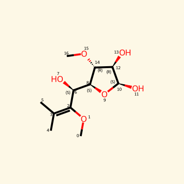 COC(=C(C)C)[C@@H](O)[C@@H]1O[C@H](O)[C@H](O)[C@H]1OC